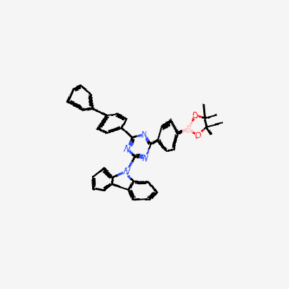 CC1(C)OB(c2ccc(-c3nc(-c4ccc(-c5ccccc5)cc4)nc(-n4c5ccccc5c5ccccc54)n3)cc2)OC1(C)C